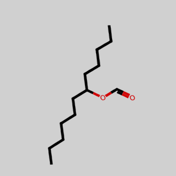 CCCCCCC(CCCCC)OC=O